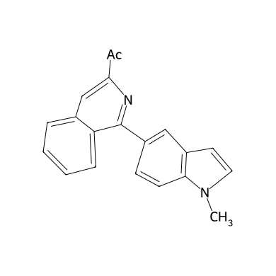 CC(=O)c1cc2ccccc2c(-c2ccc3c(ccn3C)c2)n1